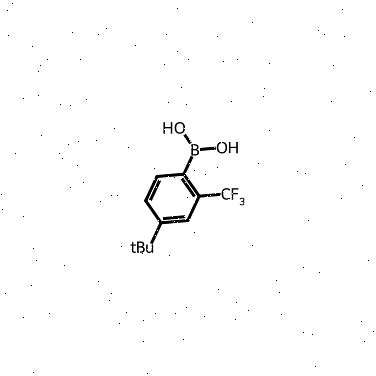 CC(C)(C)c1ccc(B(O)O)c(C(F)(F)F)c1